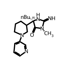 CCCC[C@]1(C2CCCN(c3cccnc3)C2)NC(=N)N(C)C1=O